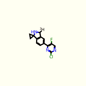 [2H]C1NC2(CC2)c2ccc(-c3nc(Cl)ncc3F)cc21